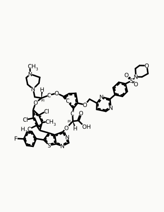 Cc1c(Cl)c2c(Cl)c(C)c1-c1c(-c3ccc(F)cc3)sc3ncnc(c13)O[C@@H](C(=O)O)Cc1cc(ccc1OCc1ccnc(-c3ccc(S(=O)(=O)N4CCOCC4)cc3)n1)OC[C@@H](CN1CCN(C)CC1)O2